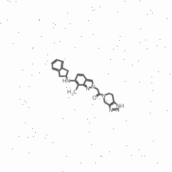 Cc1c(NC2Cc3ccccc3C2)ccc2cn(CC(=O)N3CCc4[nH]nnc4C3)nc12